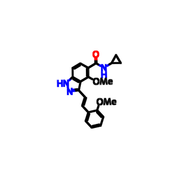 COc1ccccc1C=Cc1n[nH]c2ccc(C(=O)NC3CC3)c(OC)c12